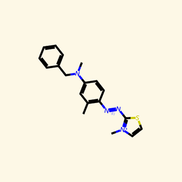 Cc1cc(N(C)Cc2ccccc2)ccc1/N=N/c1scc[n+]1C